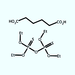 CCOP(=S)(OCC)OP(=S)(OCC)OCC.O=C(O)CCCCC(=O)O